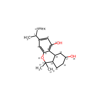 CCCCCCC(C)c1cc(O)c2c(c1)OC(C)(C)C1CCC(O)CC21